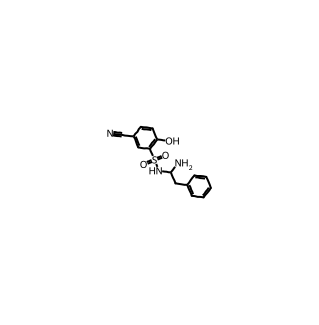 N#Cc1ccc(O)c(S(=O)(=O)NC(N)Cc2ccccc2)c1